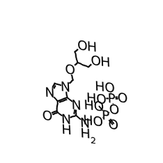 Nc1nc2c(ncn2COC(CO)CO)c(=O)[nH]1.O=P(O)(O)OP(=O)(O)O